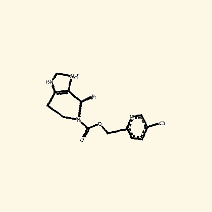 CC(C)C1C2=C(CCN1C(=O)OCc1ccc(Cl)cn1)NCN2